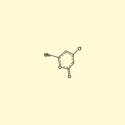 CC(C)(C)c1cc(Cl)cc(=O)o1